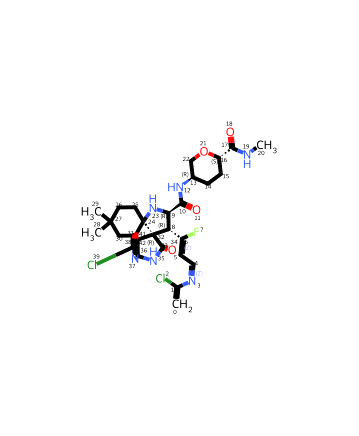 C=C(Cl)/N=C\C=C(/F)[C@H]1[C@H](C(=O)N[C@@H]2CC[C@@H](C(=O)NC)OC2)NC2(CCC(C)(C)CC2)[C@@]12C(=O)Nc1nc(Cl)ccc12